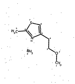 B.COCCc1csc(C)n1